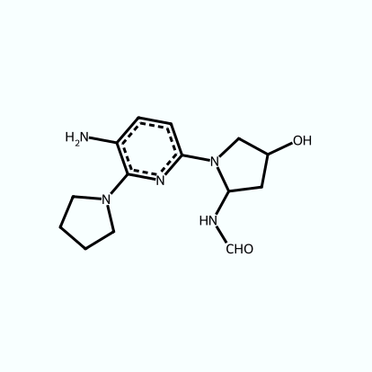 Nc1ccc(N2CC(O)CC2NC=O)nc1N1CCCC1